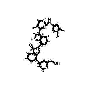 Cc1cnc(Nc2cc(C)n(C)n2)nc1-c1c[nH]c2c(N3Cc4c(cccc4-c4ccnc(CO)c4)C3=O)cccc12